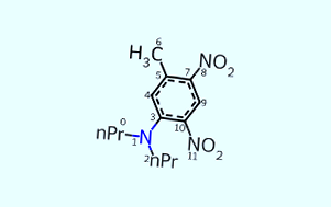 CCCN(CCC)c1cc(C)c([N+](=O)[O-])cc1[N+](=O)[O-]